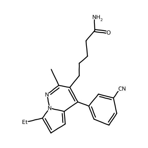 CCc1ccc2c(-c3cccc(C#N)c3)c(CCCCC(N)=O)c(C)nn12